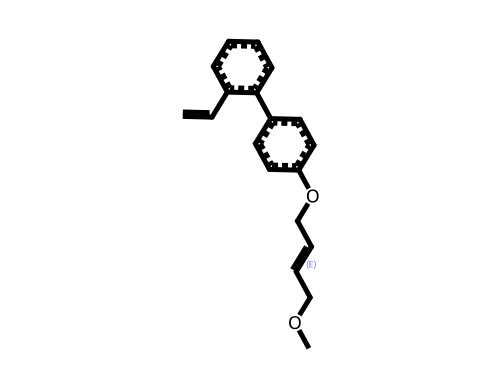 C=Cc1ccccc1-c1ccc(OC/C=C/COC)cc1